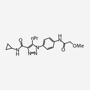 CCCc1c(C(=O)NC2CC2)nnn1-c1ccc(NC(=O)COC)cc1